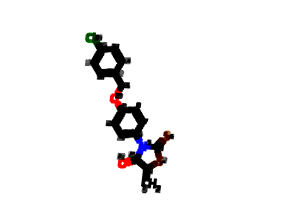 C=C1SC(=S)N(c2ccc(OCc3ccc(Cl)cc3)cc2)C1=O